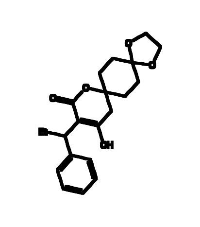 CCC(C1=C(O)CC2(CCC3(CC2)OCCO3)OC1=O)c1ccccc1